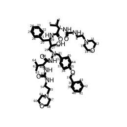 CC(C)[C@H](NC(=O)NCCN1CCOCC1)C(=O)NC(Cc1ccccc1)C(O)CN(Cc1ccc(OCc2ccccc2)cc1)NC(=O)[C@@H](NC(=O)NCCN1CCOCC1)C(C)C